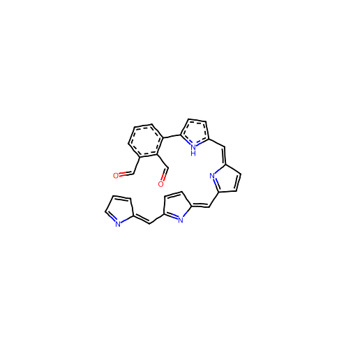 O=Cc1cccc(-c2ccc(C=C3C=CC(C=C4C=CC(C=C5C=CC=N5)=N4)=N3)[nH]2)c1C=O